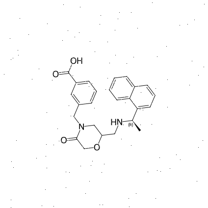 C[C@@H](NCC1CN(Cc2cccc(C(=O)O)c2)C(=O)CO1)c1cccc2ccccc12